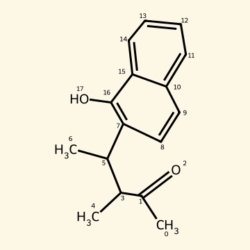 CC(=O)C(C)C(C)c1ccc2ccccc2c1O